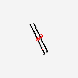 CCCCCCCCCCCCCCCC(=O)OCCCCCCCCCCCCCCCC(C)C.CCCCCCCCCCCCCCCCCC(=O)OCCCCCCCCCCCCCCCC(C)C